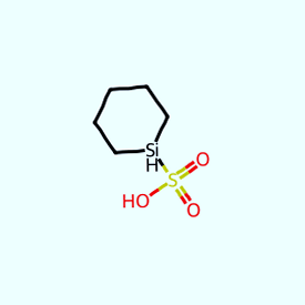 O=S(=O)(O)[SiH]1CCCCC1